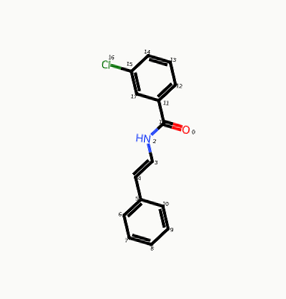 O=C(NC=Cc1ccccc1)c1cccc(Cl)c1